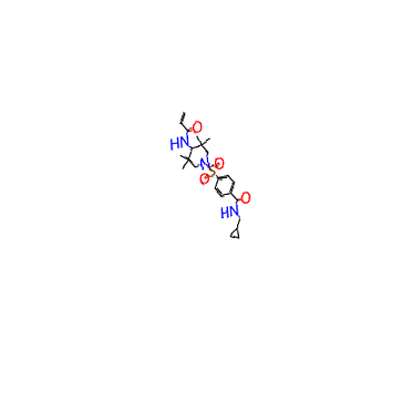 C=CC(=O)NC1C(C)(C)CN(S(=O)(=O)c2ccc(C(=O)NCC3CC3)cc2)CC1(C)C